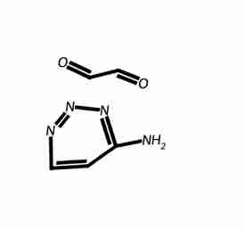 Nc1ccnnn1.O=CC=O